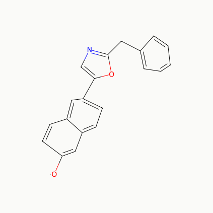 [O]c1ccc2cc(-c3cnc(Cc4ccccc4)o3)ccc2c1